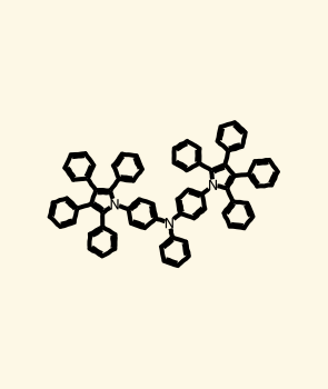 c1ccc(-c2c(-c3ccccc3)c(-c3ccccc3)n(-c3ccc(N(c4ccccc4)c4ccc(-n5c(-c6ccccc6)c(-c6ccccc6)c(-c6ccccc6)c5-c5ccccc5)cc4)cc3)c2-c2ccccc2)cc1